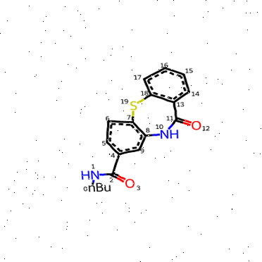 CCCCNC(=O)c1ccc2c(c1)NC(=O)c1ccccc1S2